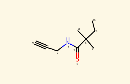 C#CCNC(=O)C(C)(C)CC